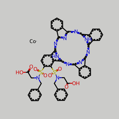 O=C(O)CN(Cc1ccccc1)S(=O)(=O)c1ccc2c3nc4nc(nc5[nH]c(nc6nc(nc([nH]3)c2c1S(=O)(=O)N(CC(=O)O)Cc1ccccc1)-c1ccccc1-6)c1ccccc51)-c1ccccc1-4.[Co]